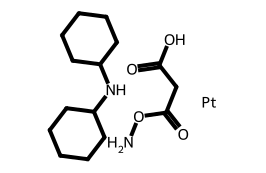 C1CCC(NC2CCCCC2)CC1.NOC(=O)CC(=O)O.[Pt]